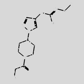 CC/N=C(\N)Nc1cnn(C2CCN(C(=O)CO)CC2)c1